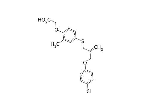 C=C(COc1ccc(Cl)cc1)CSc1ccc(OCC(=O)O)c(C)c1